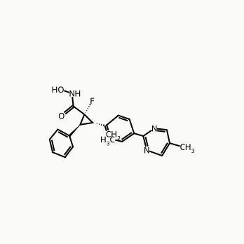 C=C(/C=C\C(=C/C)c1ncc(C)cn1)[C@@H]1[C@@H](c2ccccc2)[C@@]1(F)C(=O)NO